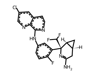 NC1=N[C@@](c2cc(Nc3nccc4cc(Cl)cnc34)ccc2F)(C(F)F)[C@H]2C[C@H]2C1